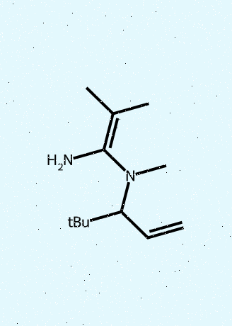 C=CC(N(C)C(N)=C(C)C)C(C)(C)C